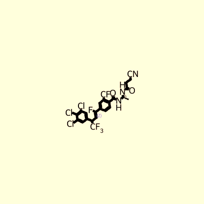 C[C@H](NC(=O)CCC#N)NC(=O)c1ccc(/C(F)=C/C(c2cc(Cl)c(Cl)c(Cl)c2)C(F)(F)F)cc1C(F)(F)F